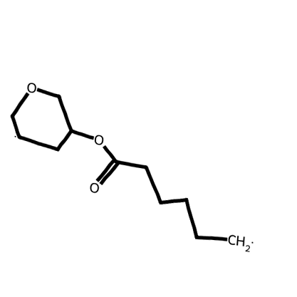 [CH2]CCCCC(=O)OC1C[CH]COC1